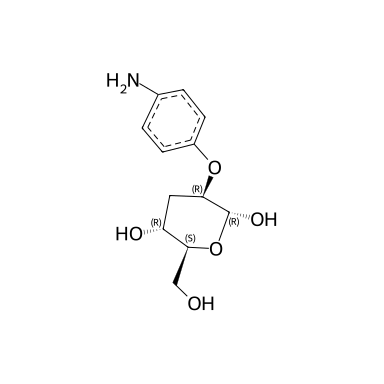 Nc1ccc(O[C@@H]2C[C@@H](O)[C@H](CO)O[C@H]2O)cc1